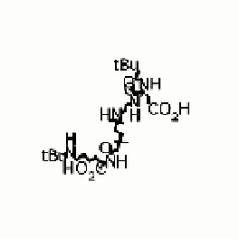 CC(C)(C)CC(=O)N[C@H](CCC(=O)O)C(=O)NCCNC(C)(C)CCC(C)(C)CC(=O)N[C@@H](CCCCNC(C)(C)C)C(=O)O